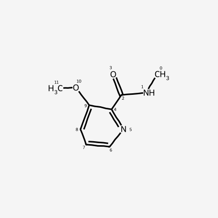 CNC(=O)c1ncccc1OC